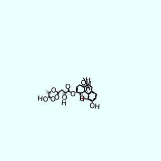 C[C@H](OC(=O)C[C@H](O)C(=O)OC1=CC[C@@]2(O)[C@H]3Cc4ccc(O)c5c4[C@@]2(CCN3C)[C@H]1O5)C(=O)O